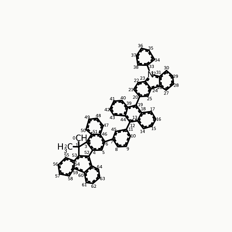 CC1(C)c2c(cc(-c3cccc(-c4c5ccccc5c(-c5ccc6c(c5)c5ccccc5n6-c5ccccc5)c5ccccc45)c3)c3ccccc23)-c2c1c1ccccc1c1ccccc21